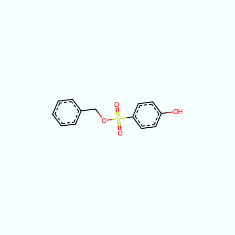 O=S(=O)(OCc1ccccc1)c1ccc(O)cc1